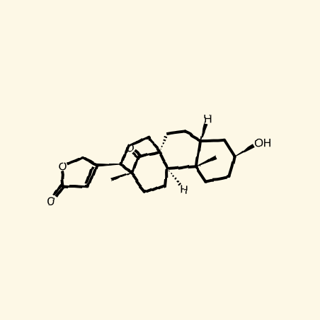 C[C@]12CC[C@H](O)C[C@H]1CC[C@]13CC[C@H](C4=CC(=O)OC4)[C@@](C)(CC[C@@H]12)C3=O